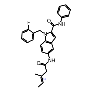 C/C=C(\C)CC(=O)Nc1ccc2c(c1)cc(C(=O)Nc1ccccc1)n2Cc1ccccc1F